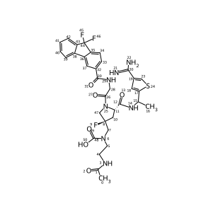 CC(=O)NCCN(C[C@@]1(F)C[C@@H](C(=O)NC(C)c2cc(C(=N)N)cs2)N(C(=O)CNC(=O)c2ccc3c(c2)-c2ccccc2C3(F)F)C1)C(=O)O